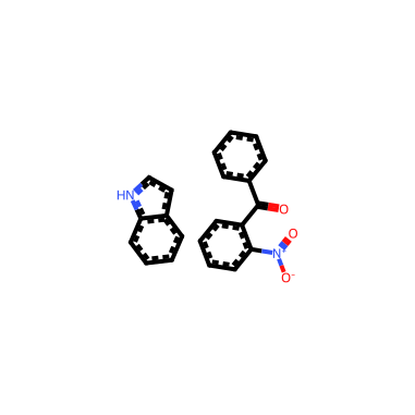 O=C(c1ccccc1)c1ccccc1[N+](=O)[O-].c1ccc2[nH]ccc2c1